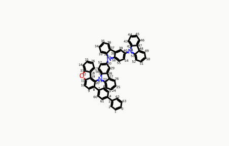 c1ccc(-c2ccc(-c3ccc4oc5ccccc5c4c3-n3c4ccccc4c4cc(-n5c6ccccc6c6cc(-n7c8ccccc8c8ccccc87)ccc65)ccc43)cc2)cc1